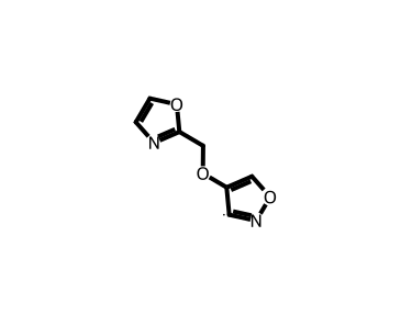 [c]1nocc1OCc1ncco1